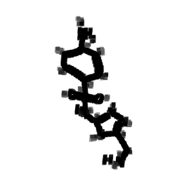 NCc1nnc(NS(=O)(=O)c2ccc(N)cc2)s1